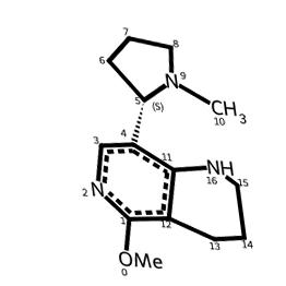 COc1ncc([C@@H]2CCCN2C)c2c1CCCN2